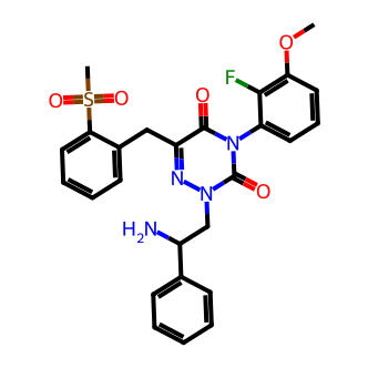 COc1cccc(-n2c(=O)c(Cc3ccccc3S(C)(=O)=O)nn(CC(N)c3ccccc3)c2=O)c1F